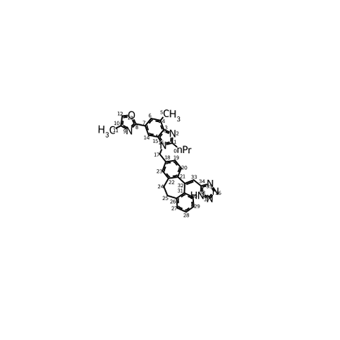 CCCc1nc2c(C)cc(-c3nc(C)co3)cc2n1Cc1ccc2c(c1)CCc1ccccc1/C2=C\c1nnn[nH]1